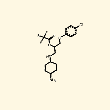 NC1CCC(NCC(COc2ccc(Cl)cc2)OC(=O)C(F)(F)F)CC1